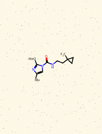 COc1nc(C(C)(C)C)cn1C(=O)NCCC1(C(F)(F)F)CC1